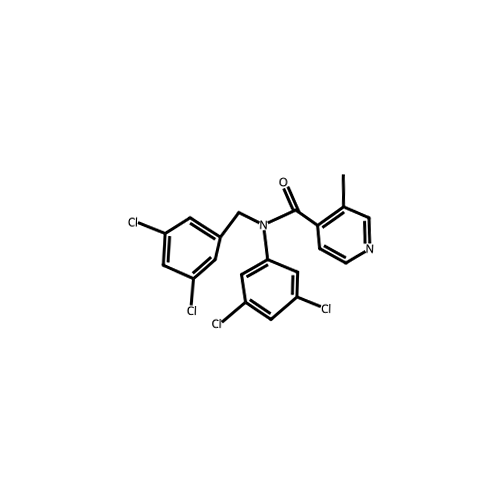 Cc1cnccc1C(=O)N(Cc1cc(Cl)cc(Cl)c1)c1cc(Cl)cc(Cl)c1